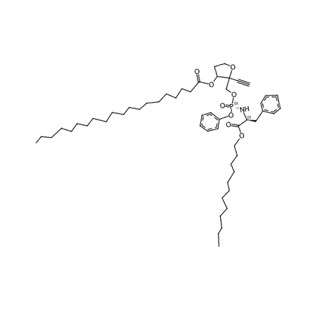 C#CC1(CO[P@@](=O)(N[C@@H](Cc2ccccc2)C(=O)OCCCCCCCCCCCC)Oc2ccccc2)OCCC1OC(=O)CCCCCCCCCCCCCCCCCCC